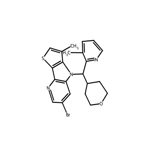 Cc1cccnc1C(C1CCOCC1)n1c2cc(Br)cnc2c2scc(C)c21